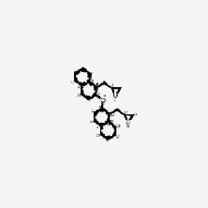 c1ccc2c(CC3CO3)c(Oc3ccc4ccccc4c3CC3CO3)ccc2c1